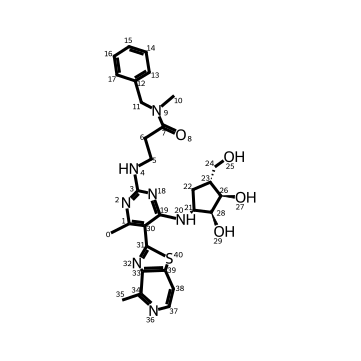 Cc1nc(NCCC(=O)N(C)Cc2ccccc2)nc(N[C@@H]2C[C@H](CO)[C@@H](O)[C@H]2O)c1-c1nc2c(C)nccc2s1